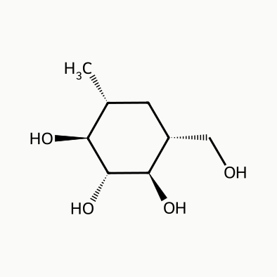 C[C@@H]1C[C@H](CO)[C@@H](O)[C@H](O)[C@H]1O